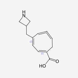 O=C(O)/C1=C/C=C(/CC2CNC2)C=C=CC1